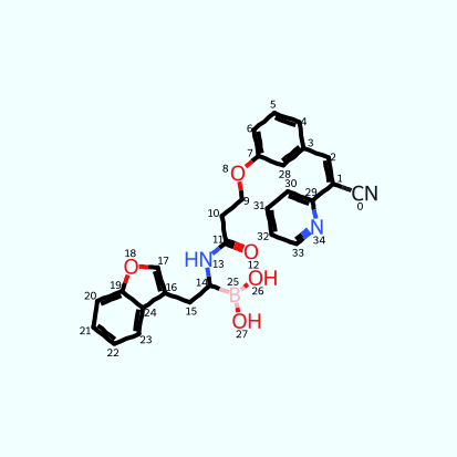 N#CC(=Cc1cccc(OCCC(=O)NC(Cc2coc3ccccc23)B(O)O)c1)c1ccccn1